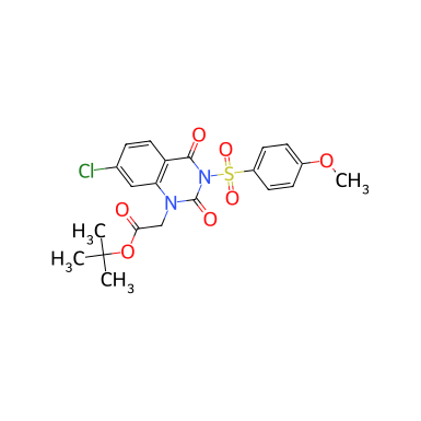 COc1ccc(S(=O)(=O)n2c(=O)c3ccc(Cl)cc3n(CC(=O)OC(C)(C)C)c2=O)cc1